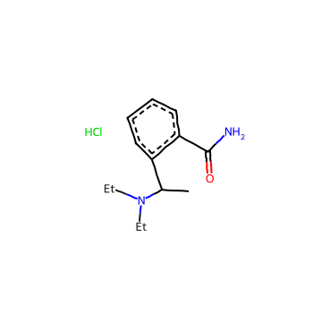 CCN(CC)C(C)c1ccccc1C(N)=O.Cl